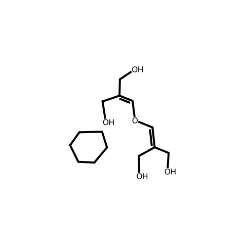 C1CCCCC1.OCC(=COC=C(CO)CO)CO